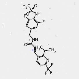 CC(C)c1nc(C(F)(F)F)ccc1/C=C/C(=O)NCc1cc(F)c(NS(C)(=O)=O)c(F)c1